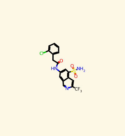 NS(=O)(=O)c1cc(NC(=O)Cc2ccccc2Cl)cc2cnc(C(F)(F)F)cc12